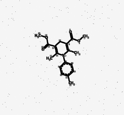 COC(=O)C1=C(C)N(c2ccc(C)cc2)C(C)=C(C(=O)OC)C1